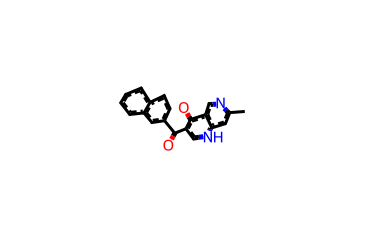 Cc1cc2[nH]cc(C(=O)c3ccc4ccccc4c3)c(=O)c2cn1